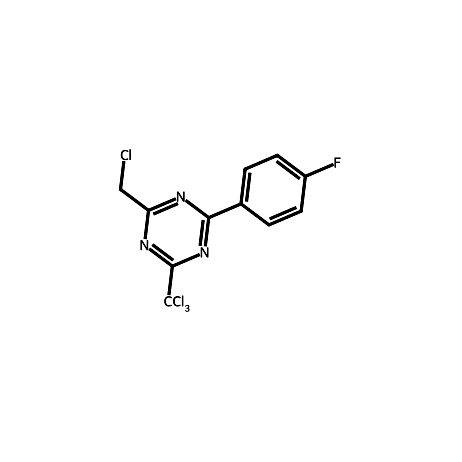 Fc1ccc(-c2nc(CCl)nc(C(Cl)(Cl)Cl)n2)cc1